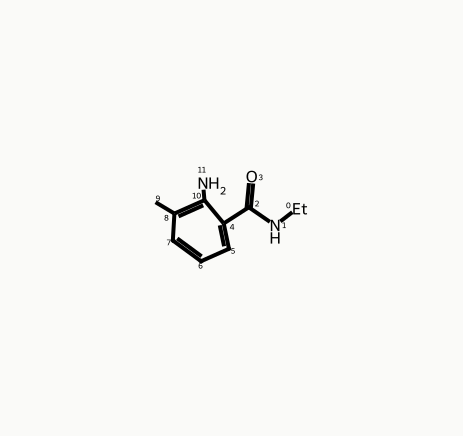 CCNC(=O)c1cccc(C)c1N